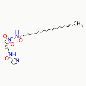 CCC=CCC=CCC=CCC=CCC=CCC=CCCC(=O)NCCN1C(=O)CC(SCCNC(=O)c2cccnc2)C1=O